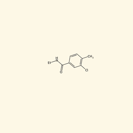 CCNC(=O)c1ccc(C)c(Cl)c1